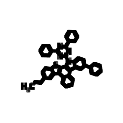 C/C=C/c1ccc2sc3c(c2c1)c1ccccc1c1c2cc(-c4ccccc4)ccc2n(-c2nc(-c4ccccc4)nc(-c4ccccc4)n2)c31